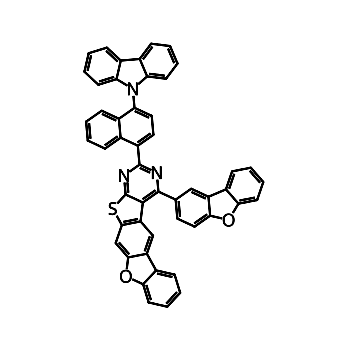 c1ccc2c(c1)oc1ccc(-c3nc(-c4ccc(-n5c6ccccc6c6ccccc65)c5ccccc45)nc4sc5cc6oc7ccccc7c6cc5c34)cc12